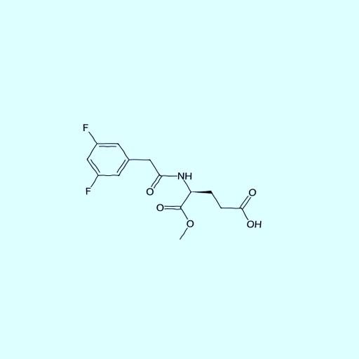 COC(=O)[C@H](CCC(=O)O)NC(=O)Cc1cc(F)cc(F)c1